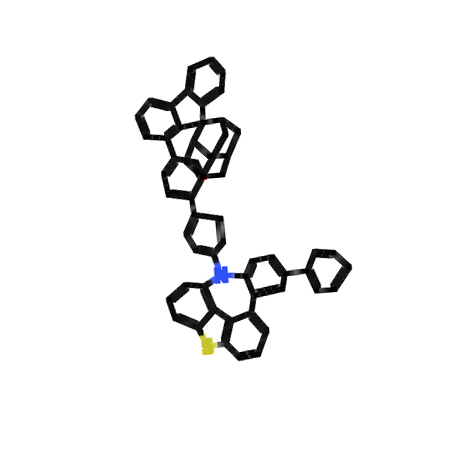 c1ccc(-c2ccc3c(c2)c2cccc4sc5cccc(c5c42)n3-c2ccc(-c3ccc(-c4cccc5c4C4(c6ccccc6-5)C5CC6CC(C5)CC4C6)cc3)cc2)cc1